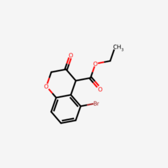 CCOC(=O)C1C(=O)COc2cccc(Br)c21